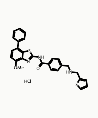 COc1ccc(-c2ccccc2)c2sc(NC(=O)c3ccc(CNCc4cccs4)cc3)nc12.Cl